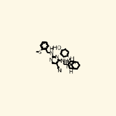 CSc1ccccc1CNc1ncc(C#N)c(NCC2C[C@H]3CCC[C@@H](C2)[C@@H]3NC[C@H]2CC[C@H](O)CC2)n1